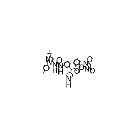 COc1cc(OC)nc(Oc2ccccc2C(=O)C(c2cccc(NC(=O)Nc3cc(C(C)(C)C)nn3-c3ccc(C)cc3)c2)C2CCNCC2)n1